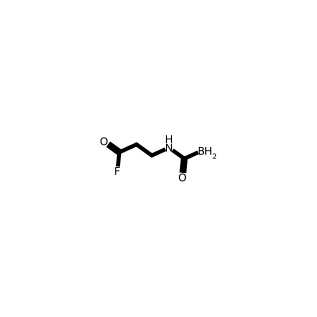 BC(=O)NCCC(=O)F